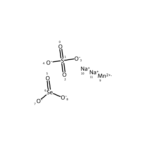 O=S(=O)([O-])[O-].O=[Se]([O-])[O-].[Mn+2].[Na+].[Na+]